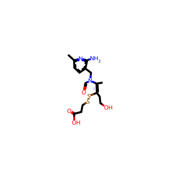 C/C(=C(\CCO)SSCCC(=O)O)N(C=O)Cc1ccc(C)nc1N